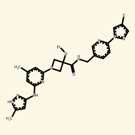 CCOC1(C(=O)NCc2ccc(-n3cc(F)cn3)nc2)CN(c2cc(C)cc(Nc3cc(C)[nH]n3)n2)C1